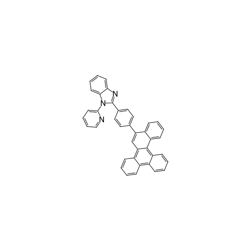 c1ccc(-n2c(-c3ccc(-c4cc5c6ccccc6c6ccccc6c5c5ccccc45)cc3)nc3ccccc32)nc1